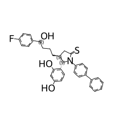 Oc1ccc([C@@H]2[C@@H](CCC[C@@H](O)c3ccc(F)cc3)CC(=S)N2c2ccc(-c3ccccc3)cc2)c(O)c1